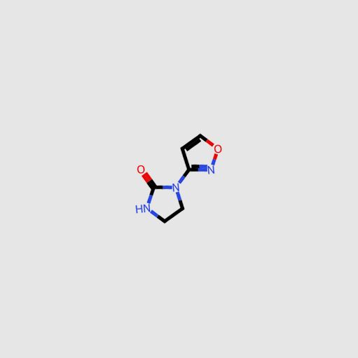 O=C1NCCN1c1ccon1